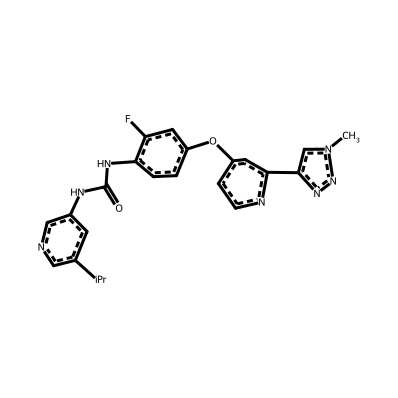 CC(C)c1cncc(NC(=O)Nc2ccc(Oc3ccnc(-c4cn(C)nn4)c3)cc2F)c1